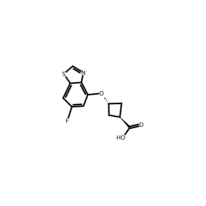 O=C(O)[C@H]1C[C@H](Oc2cc(F)cc3scnc23)C1